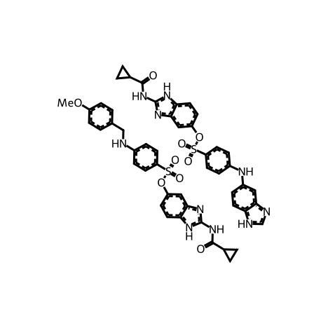 COc1ccc(CNc2ccc(S(=O)(=O)Oc3ccc4[nH]c(NC(=O)C5CC5)nc4c3)cc2)cc1.O=C(Nc1nc2cc(OS(=O)(=O)c3ccc(Nc4ccc5[nH]cnc5c4)cc3)ccc2[nH]1)C1CC1